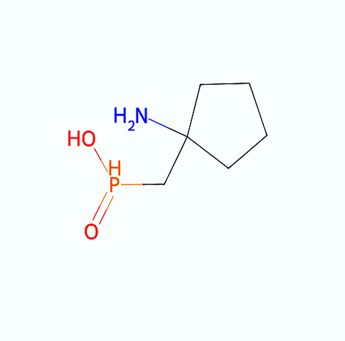 NC1(C[PH](=O)O)CCCC1